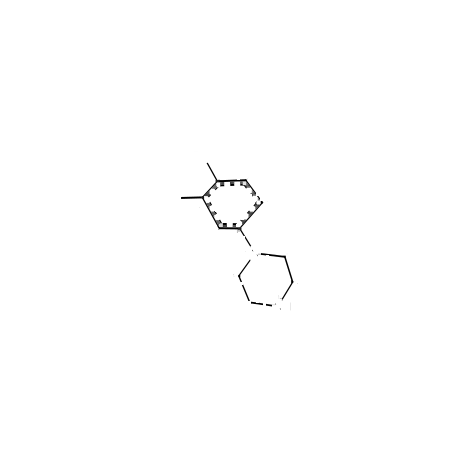 CCc1ccc(N2CCNCC2)cc1C